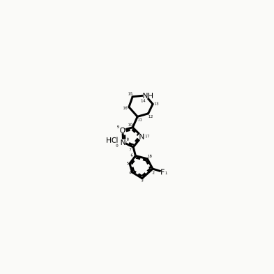 Cl.Fc1cccc(-c2noc(C3CCNCC3)n2)c1